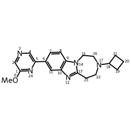 COc1cncc(-c2ccc3c(c2)nc2n3CCN(C3CCC3)CC2)n1